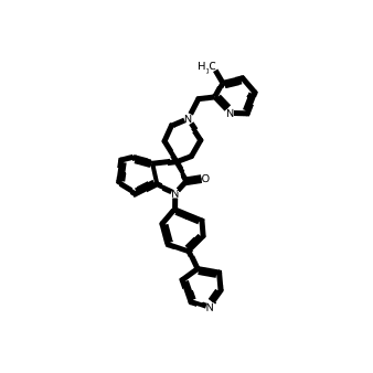 Cc1cccnc1CN1CCC2(CC1)C(=O)N(c1ccc(-c3ccncc3)cc1)c1ccccc12